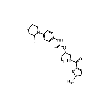 Cc1ccc(C(=O)NC[C@@H](CCl)OC(=O)Nc2ccc(N3CCOCC3=O)cc2)s1